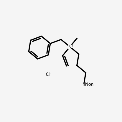 C=C[N+](C)(CCCCCCCCCCCC)Cc1ccccc1.[Cl-]